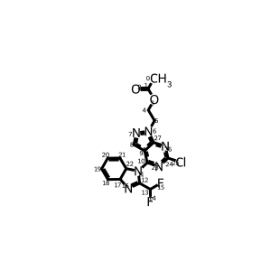 CC(=O)OCCn1ncc2c(N3C(C(F)F)=NC4C=CC=CC43)nc(Cl)nc21